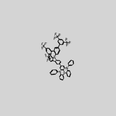 FC(F)(F)c1cc(-c2ccc(-n3c4ccccc4c4cc(-c5cc6c7c(c5)N(c5ccccc5)c5ccccc5B7c5ccccc5N6c5ccccc5)ccc43)c(-c3cc(C(F)(F)F)cc(C(F)(F)F)c3)c2)cc(C(F)(F)F)c1